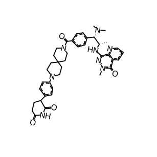 C[C@H](Nc1nn(C)c(=O)c2cccnc12)[C@H](c1ccc(C(=O)N2CCC3(CC2)CCN(c2ccc(C4CCC(=O)NC4=O)cc2)CC3)cc1)N(C)C